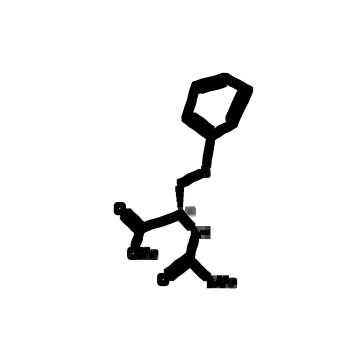 CNC(=O)N[C@@H](CSc1ccccc1)C(=O)OC